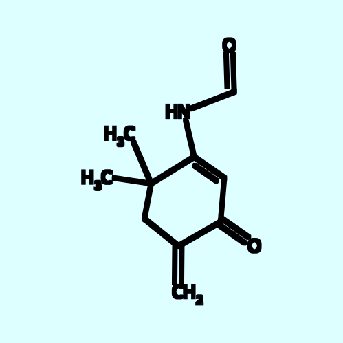 C=C1CC(C)(C)C(NC=O)=CC1=O